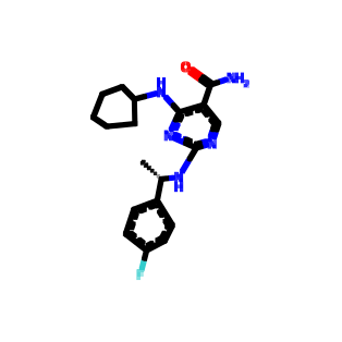 C[C@H](Nc1ncc(C(N)=O)c(NC2CCCCC2)n1)c1ccc(F)cc1